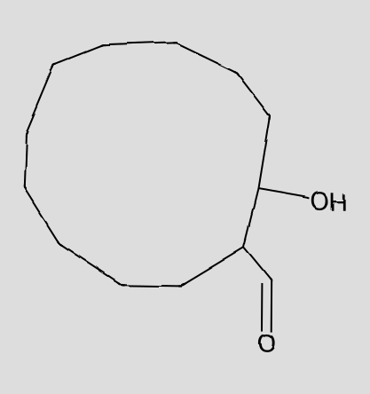 O=CC1CCCCCCCCCCC1O